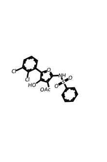 CC(=O)Oc1c(NS(=O)(=O)c2ccccc2)oc(-c2cccc(Cl)c2Cl)c1O